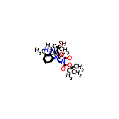 CC(=O)N(CN(C(=O)[C@H](N)C(C)(C)S)c1cccc(C)c1C)C(=O)OC(C)(C)C